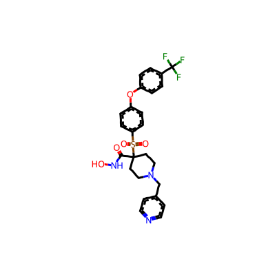 O=C(NO)C1(S(=O)(=O)c2ccc(Oc3ccc(C(F)(F)F)cc3)cc2)CCN(Cc2ccncc2)CC1